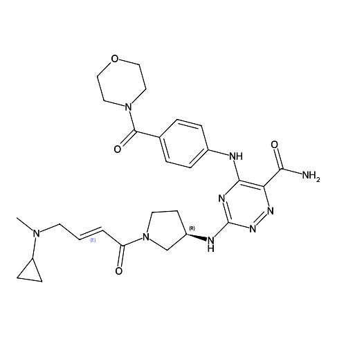 CN(C/C=C/C(=O)N1CC[C@@H](Nc2nnc(C(N)=O)c(Nc3ccc(C(=O)N4CCOCC4)cc3)n2)C1)C1CC1